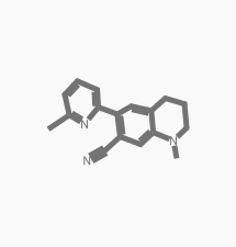 Cc1cccc(-c2cc3c(cc2C#N)N(C)CCC3)n1